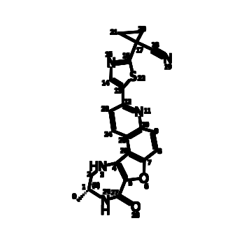 C[C@@H]1CNc2c(oc3ccc4nc(-c5cnc(C6(C#N)CC6)s5)ccc4c23)C(=O)N1